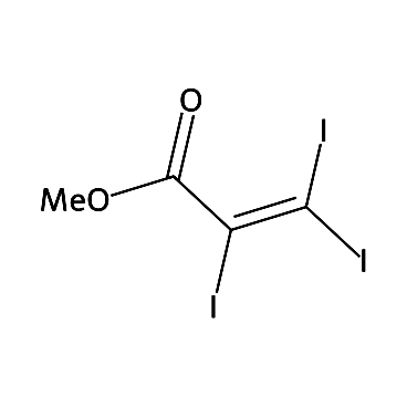 COC(=O)C(I)=C(I)I